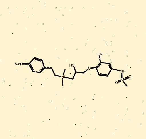 COc1ccc(CC[N+](C)(C)CC(O)COc2ccc(NS(C)(=O)=O)cc2C#N)cc1